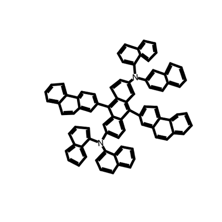 c1ccc2cc(N(c3ccc4c(-c5ccc6c(ccc7ccccc76)c5)c5cc(N(c6cccc7ccccc67)c6cccc7ccccc67)ccc5c(-c5ccc6c(ccc7ccccc76)c5)c4c3)c3cccc4ccccc34)ccc2c1